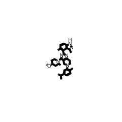 COC1CCN(c2nc(-c3c(C)ccc4[nH]nc(C)c34)nc3c2CN(c2cc(C(C)C)ccc2C)CC3)C(C)C1